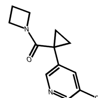 O=C(N1CCC1)C1(c2cncc(Cl)c2)CC1